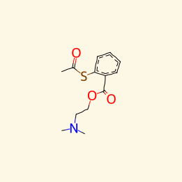 CC(=O)Sc1ccccc1C(=O)OCCN(C)C